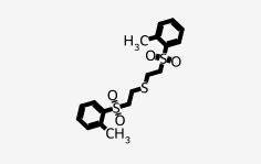 Cc1ccccc1S(=O)(=O)CCSCCS(=O)(=O)c1ccccc1C